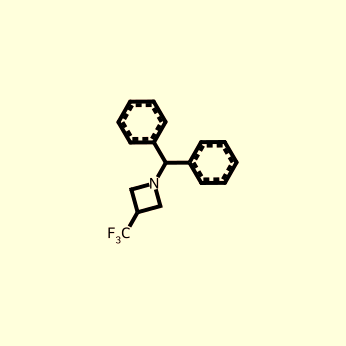 FC(F)(F)C1CN(C(c2ccccc2)c2ccccc2)C1